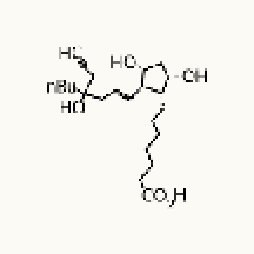 C#CCC(O)(CC=C[C@@H]1[C@@H](CCCCCCC(=O)O)[C@@H](O)C[C@H]1O)CCCC